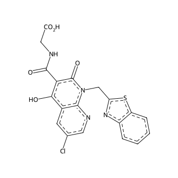 O=C(O)CNC(=O)c1c(O)c2cc(Cl)cnc2n(Cc2nc3ccccc3s2)c1=O